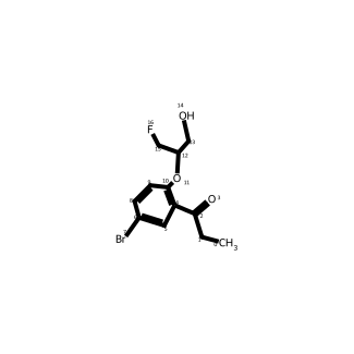 CCC(=O)c1cc(Br)ccc1OC(CO)CF